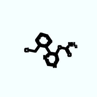 NC(=O)Oc1cncnc1-c1ccccc1CCl